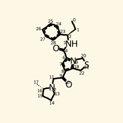 CC[C@@H](NC(=O)c1cc(C(=O)CN2CCC[C@@H]2C)c2n1CSC2)c1ccccc1